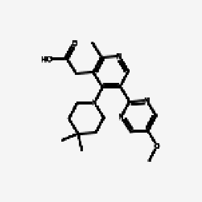 COc1cnc(-c2cnc(C)c(CC(=O)O)c2N2CCC(C)(C)CC2)nc1